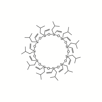 C=C[Si]1(CC(C)C)O[Si](C=C)(CC(C)C)O[Si](C=C)(CC(C)C)O[Si](C=C)(CC(C)C)O[Si](C=C)(CC(C)C)O[Si](C=C)(CC(C)C)O[Si](C=C)(CC(C)C)O[Si](C=C)(CC(C)C)O[Si](C=C)(CC(C)C)O[Si](C=C)(CC(C)C)O[Si](C=C)(CC(C)C)O1